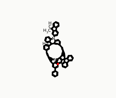 CC1(C)c2ccccc2-c2ccc(N3c4ccccc4C4(C)c5cccc(c5)-c5ccc6c(c5)c5cc(-c7ccccc7)ccc5n6-c5cccc6c5-c5ccc(cc5C65c6ccccc6-c6ccccc65)-c5ccc3c4c5)cc21